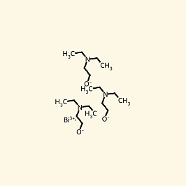 CCN(CC)CC[O-].CCN(CC)CC[O-].CCN(CC)CC[O-].[Bi+3]